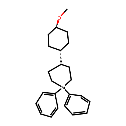 CO[C@H]1CC[C@H](C2CC[Si](c3ccccc3)(c3ccccc3)CC2)CC1